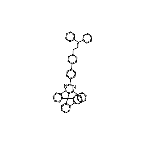 C(Cc1ccc(-c2ccc(-c3nc(-c4ccccc4)c4c(n3)-c3ccccc3C43c4ccccc4-c4ccccc43)cc2)cc1)=C(c1ccccc1)c1ccccc1